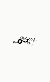 CCOC(=O)C(C#N)=C(C)C=Cc1ccc(C(C)C)cc1Cl